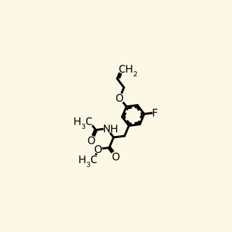 C=CCOc1cc(F)cc(CC(NC(C)=O)C(=O)OC)c1